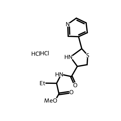 CCC(NC(=O)C1CSC(c2cccnc2)N1)C(=O)OC.Cl.Cl